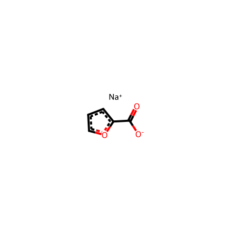 O=C([O-])c1ccco1.[Na+]